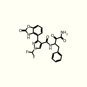 NC(=O)C(=O)C(Cc1ccccc1)NC(=O)c1cn(C(F)F)nc1-c1cccc2oc(=O)[nH]c12